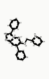 c1ccc(-c2cc3nnc(-c4ccccc4)n3nc2OCc2ccccn2)cc1